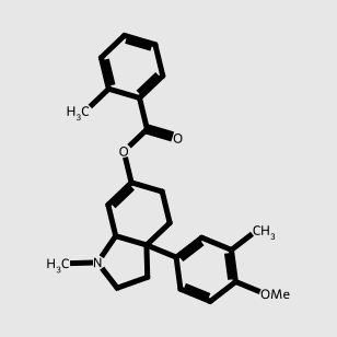 COc1ccc(C23CCC(OC(=O)c4ccccc4C)=CC2N(C)CC3)cc1C